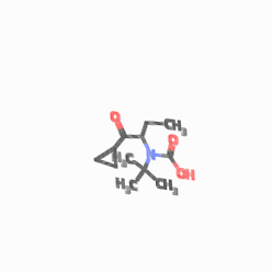 CCC(C(=O)C1CC1)N(C(=O)O)C(C)(C)C